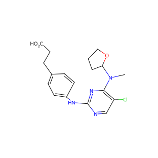 CN(c1nc(Nc2ccc(CCC(=O)O)cc2)ncc1Cl)C1CCCO1